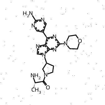 C[C@H](N)C(=O)N1CCC(n2cnc3c(-c4cnc(N)nc4)nc(N4CCOCC4)nc32)C1